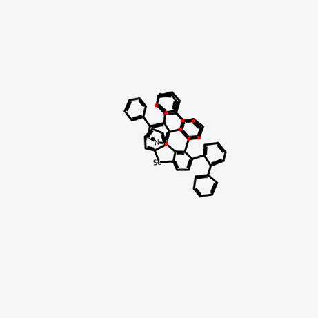 c1ccc(-c2ccccc2-c2ccc3[se]c4ccccc4c3c2-c2cccc(-c3ccccc3)c2-c2nnnc(-c3ccccc3)c2-c2ccccc2-c2ccccc2)cc1